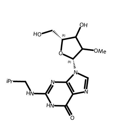 COC1C(O)[C@@H](CO)O[C@H]1n1cnc2c(=O)[nH]c(NCC(C)C)nc21